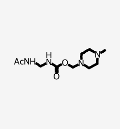 CC(=O)NCNC(=O)OCN1CCN(C)CC1